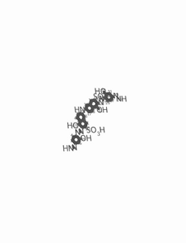 N=Nc1ccc(N=Nc2c(S(=O)(=O)O)cc3cc(Nc4ccc5c(O)c(N=Nc6ccc(N=N)cc6O)c(S(=O)(=O)O)cc5c4)ccc3c2O)c(O)c1